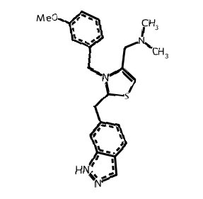 COc1cccc(CN2C(CN(C)C)=CSC2Cc2ccc3cn[nH]c3c2)c1